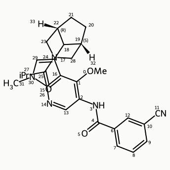 COc1c(NC(=O)c2cccc(C#N)c2)cnc2c1c(C1[C@@H]3CC[C@H]1CN(C(=O)C(C)C)C3)cn2C